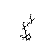 CCC(=CCOc1ccccc1C=O)CCOC(C)CC